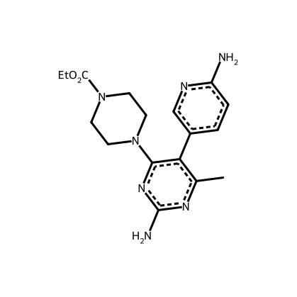 CCOC(=O)N1CCN(c2nc(N)nc(C)c2-c2ccc(N)nc2)CC1